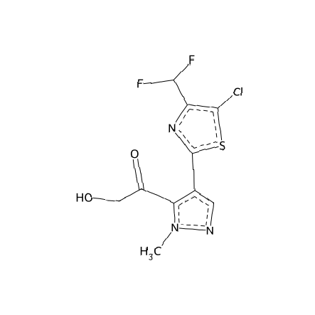 Cn1ncc(-c2nc(C(F)F)c(Cl)s2)c1C(=O)CO